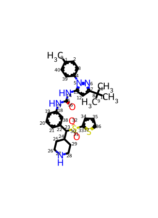 Cc1ccc(-n2nc(C(C)(C)C)cc2NC(=O)Nc2cccc(C(C3CCNCC3)S(=O)(=O)c3cccs3)c2)cc1